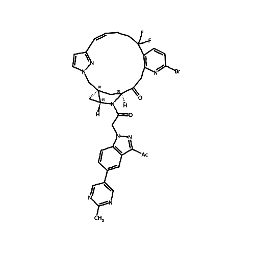 CC(=O)c1nn(CC(=O)N2[C@H]3C[C@]4(C[C@@H]24)Cn2ccc(n2)C=CCCC(F)(F)c2ccc(Br)nc2CC3=O)c2ccc(-c3cnc(C)nc3)cc12